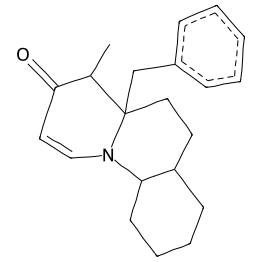 CC1C(=O)C=CN2C3CCCCC3CCC12Cc1ccccc1